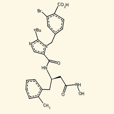 CCCCc1ncc(C(=O)N[C@@H](CC(=O)NO)Cc2ccccc2C)n1Cc1ccc(C(=O)O)c(Br)c1